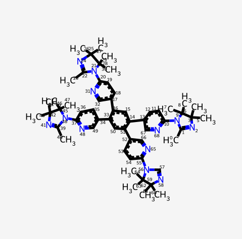 CC1=NC(C)(C)C(C)(C)N1c1ccc(-c2cc(-c3ccc(N4C(C)=NC(C)(C)C4(C)C)nc3)c(-c3ccc(N4C(C)=NC(C)(C)C4(C)C)nc3)cc2-c2ccc(N3C=NC(C)(C)C3(C)C)nc2)cn1